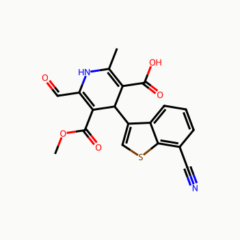 COC(=O)C1=C(C=O)NC(C)=C(C(=O)O)C1c1csc2c(C#N)cccc12